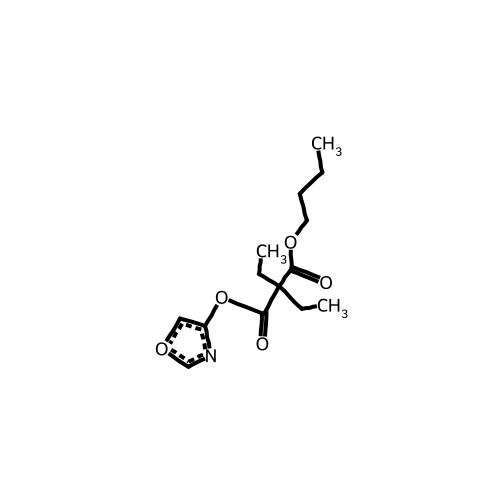 CCCCOC(=O)C(CC)(CC)C(=O)Oc1cocn1